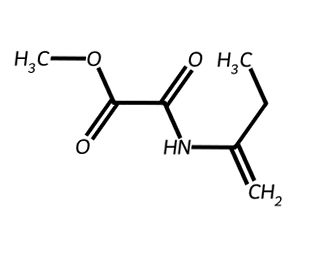 C=C(CC)NC(=O)C(=O)OC